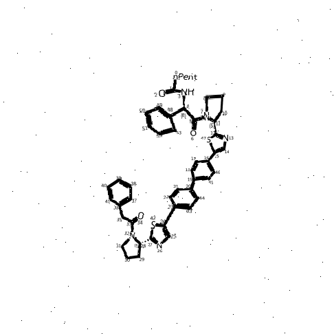 CCCCCC(=O)N[C@@H](C(=O)N1CCC[C@H]1c1ncc(-c2ccc(-c3ccc(-c4cnc([C@@H]5CCCN5C(=O)Cc5ccccc5)s4)cc3)cc2)s1)c1ccccc1